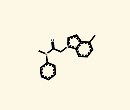 Cc1cccc2c1ccn2CC(=O)N(C)c1ccccc1